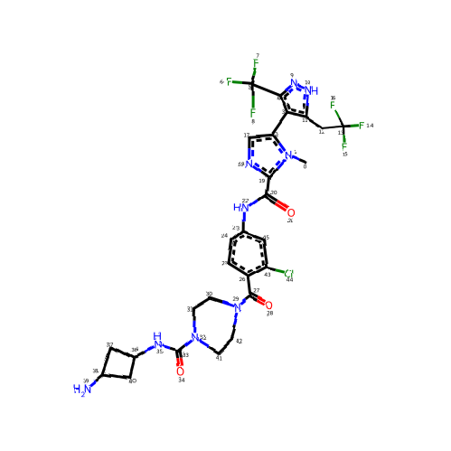 Cn1c(-c2c(C(F)(F)F)n[nH]c2CC(F)(F)F)cnc1C(=O)Nc1ccc(C(=O)N2CCN(C(=O)NC3CC(N)C3)CC2)c(Cl)c1